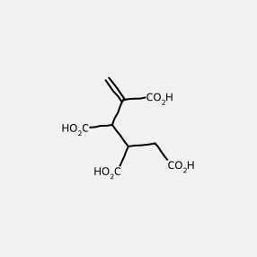 C=C(C(=O)O)C(C(=O)O)C(CC(=O)O)C(=O)O